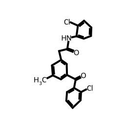 Cc1cc(CC(=O)Nc2ccccc2Cl)cc(C(=O)c2ccccc2Cl)c1